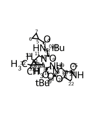 CC[C@@H](C)[C@H](NC(=O)C1CC1)C(=O)N1C[C@H]2[C@@H]([C@H]1C(=O)NN(C[C@@H]1CCNC1=O)C(=O)OC(C)(C)C)C2(C)C